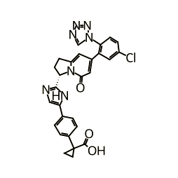 O=C(O)C1(c2ccc(-c3cnc([C@@H]4CCc5cc(-c6cc(Cl)ccc6-n6cnnn6)cc(=O)n54)[nH]3)cc2)CC1